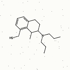 CCCN(CCC)C1CCc2cccc(CS)c2C1C